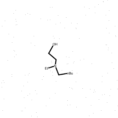 CCCCCN(CC)CCO